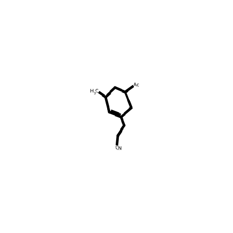 CC(=O)C1CC(CCC#N)=CC(C)C1